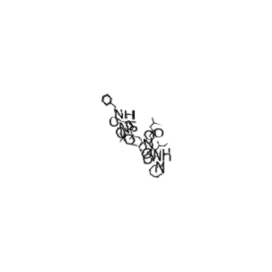 CC[C@H](C)[C@H](NC(=O)[C@H]1CCCCN1C)C(=O)N(COC(=O)CC(C)C)[C@H](C[C@@H](OC(C)=O)c1nc(C(=O)NCCc2ccccc2)cs1)C(C)C